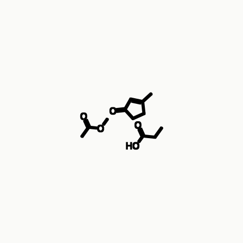 CC1=CC(=O)CC1.CCC(=O)O.COC(C)=O